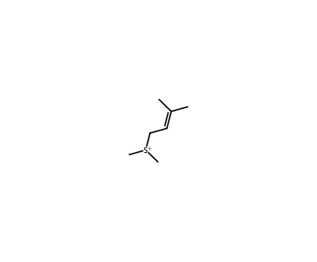 CC(C)=CC[S+](C)C